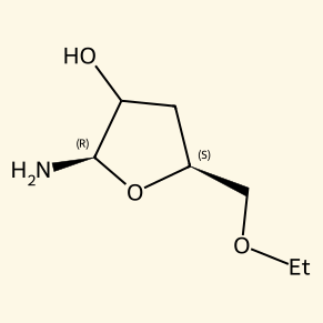 CCOC[C@@H]1CC(O)[C@H](N)O1